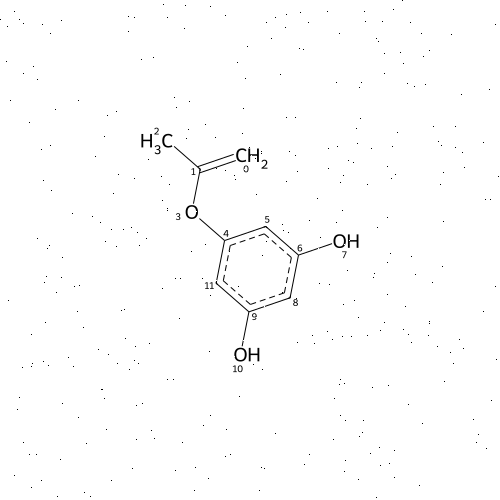 C=C(C)Oc1cc(O)cc(O)c1